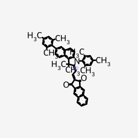 Cc1cc(C)c(-c2ccc3c4c(ccc3c2)N(c2c(C)cc(C)cc2C)/C(=C/C=C2C(=O)c3cc5ccccc5cc3C2=O)C4(C)C)c(C)c1